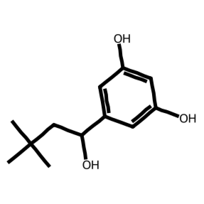 CC(C)(C)CC(O)c1cc(O)cc(O)c1